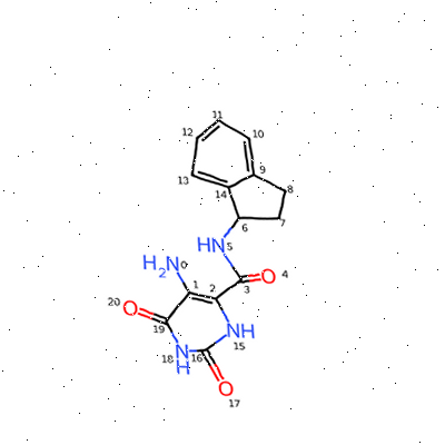 Nc1c(C(=O)NC2CCc3ccccc32)[nH]c(=O)[nH]c1=O